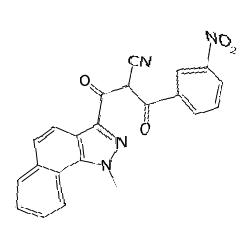 Cn1nc(C(=O)C(C#N)C(=O)c2cccc([N+](=O)[O-])c2)c2ccc3ccccc3c21